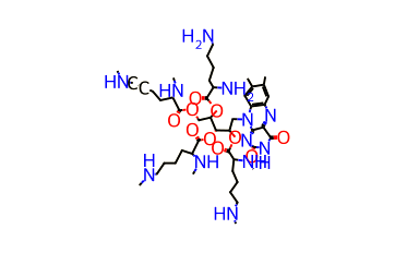 CNCCCCC(NC)C(=O)OCC(OC(=O)C(N)CCCCN)C(OC(=O)C(CCCCNC)NC)C(Cn1c2nc(=O)[nH]c(=O)c-2nc2cc(C)c(C)cc21)OC(=O)C(CCCCNC)NC